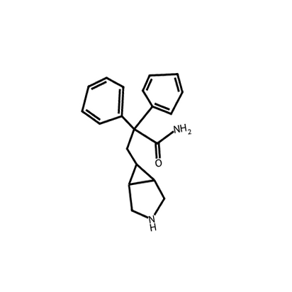 NC(=O)C(CC1C2CNCC21)(c1ccccc1)c1ccccc1